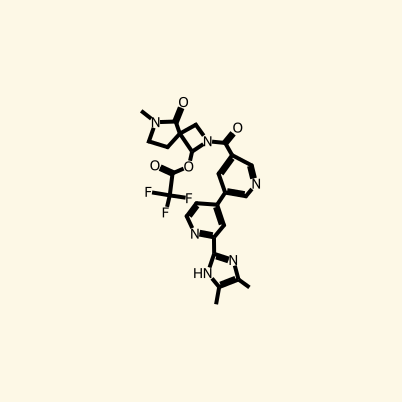 Cc1nc(-c2cc(-c3cncc(C(=O)N4CC5(CCN(C)C5=O)C4OC(=O)C(F)(F)F)c3)ccn2)[nH]c1C